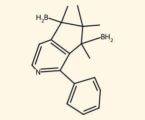 BC1(C)c2ccnc(-c3ccccc3)c2C(B)(C)C1(C)C